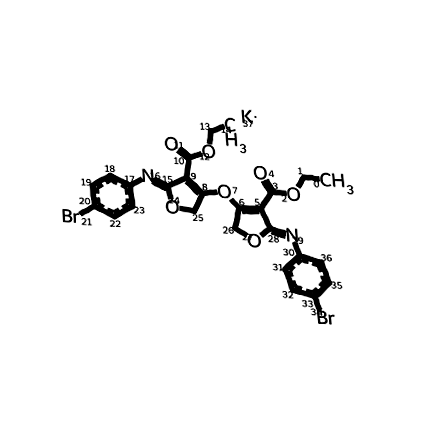 CCOC(=O)C1=C(OC2=C(C(=O)OCC)C(=Nc3ccc(Br)cc3)OC2)COC1=Nc1ccc(Br)cc1.[K]